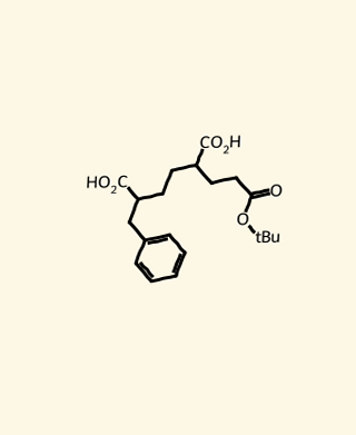 CC(C)(C)OC(=O)CCC(CCC(Cc1ccccc1)C(=O)O)C(=O)O